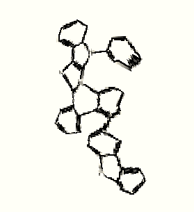 C1=CCC2C(=C1)c1nc3c4ccccc4c4c(-c5ccc6oc7ccccc7c6c5)cccc4n3c1N2c1ccccc1